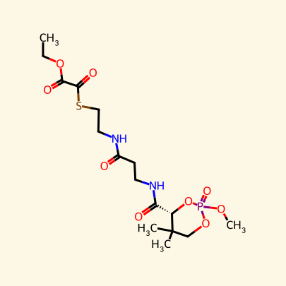 CCOC(=O)C(=O)SCCNC(=O)CCNC(=O)[C@@H]1OP(=O)(OC)OCC1(C)C